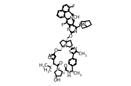 C#Cc1c(F)ccc2cccc(-c3ncc4c(N5CC6CCC(C5)N6)nc(OC[C@]56CCCN5[C@H](COc5cc([C@H](C(=O)N7C[C@H](O)C[C@H]7C(=O)N[C@@H](C)c7ccc(-c8scnc8C)cc7)C(C)C)on5)CC6)nc4c3F)c12